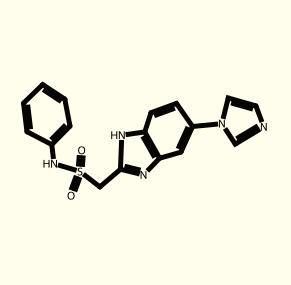 O=S(=O)(Cc1nc2cc(-n3ccnc3)ccc2[nH]1)Nc1ccccc1